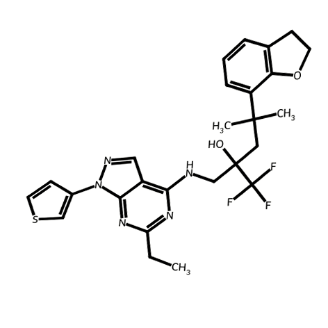 CCc1nc(NCC(O)(CC(C)(C)c2cccc3c2OCC3)C(F)(F)F)c2cnn(-c3ccsc3)c2n1